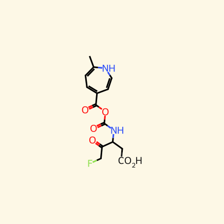 CC1=CC=C(C(=O)OC(=O)NC(CC(=O)O)C(=O)CF)C=CN1